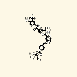 CC(NC(=O)c1cc(NCC2CCN(C(=O)OC(C)(C)C)CC2)ncn1)c1ncc(C(=O)Nc2cc(C(F)(F)P)c(Cl)cn2)s1